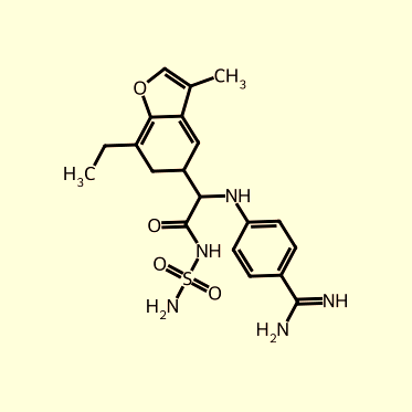 CCC1=c2occ(C)c2=CC(C(Nc2ccc(C(=N)N)cc2)C(=O)NS(N)(=O)=O)C1